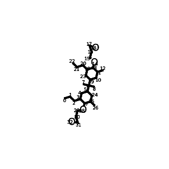 CCCC1CC(C(C)(C)C2CC(C)C(OCC3CO3)C(CCC)C2)CC(C)C1OCC1CO1